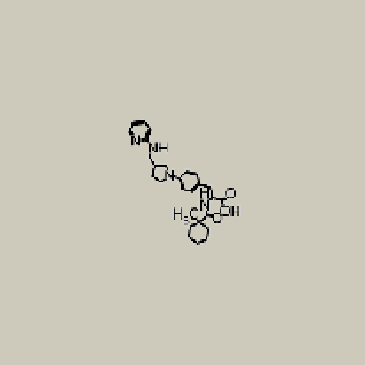 CC1(C(=O)NC(Cc2ccc(N3CCC(CNc4ccccn4)C3)cc2)C(=O)O)CCCCC1